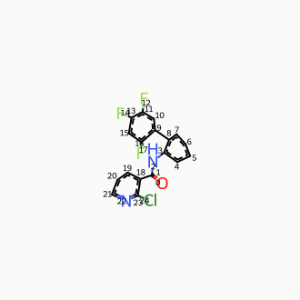 O=C(Nc1ccccc1-c1cc(F)c(F)cc1F)c1cccnc1Cl